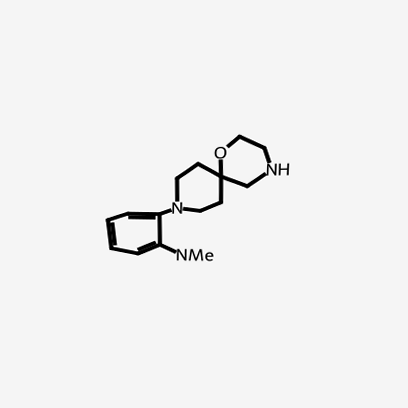 CNc1ccccc1N1CCC2(CC1)CNCCO2